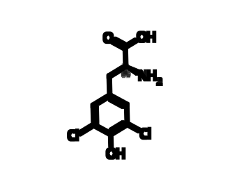 N[C@@H](Cc1cc(Cl)c(O)c(Cl)c1)C(=O)O